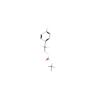 CC(C)(C)OC(=O)NCC(F)(F)c1ccc(Br)cc1